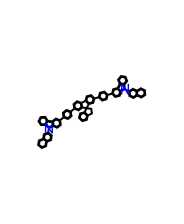 c1ccc2c(c1)CCC21c2cc(-c3ccc(-c4ccc5c(c4)c4ccccc4n5-c4ccc5ccccc5c4)cc3)ccc2-c2ccc(-c3ccc(-c4ccc5c(c4)c4ccccc4n5-c4ccc5ccccc5c4)cc3)cc21